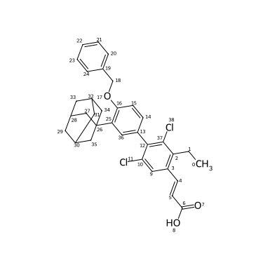 CCc1c(C=CC(=O)O)cc(Cl)c(-c2ccc(OCc3ccccc3)c(C34CC5CC(CC(C5)C3)C4)c2)c1Cl